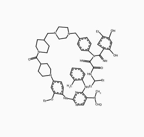 CCOc1cc(N2CCC(C(=O)N3CCC(CN4CCN(Cc5ccc(N(C(=N)C(=O)NC(CC)CC)C(=N)c6cc(CC)c(O)cc6O)cc5)CC4)CC3)CC2)ccc1Nc1ncc(N(C)C=O)c(Nc2ccccc2C)n1